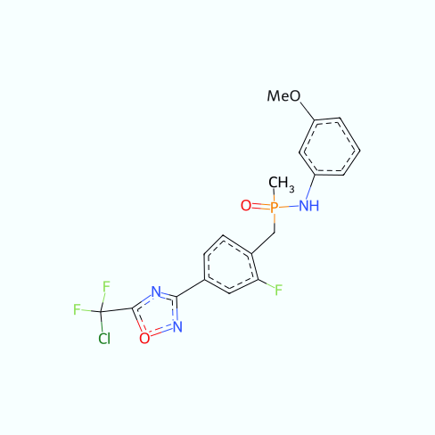 COc1cccc(NP(C)(=O)Cc2ccc(-c3noc(C(F)(F)Cl)n3)cc2F)c1